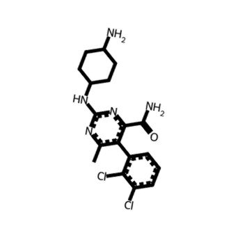 Cc1nc(NC2CCC(N)CC2)nc(C(N)=O)c1-c1cccc(Cl)c1Cl